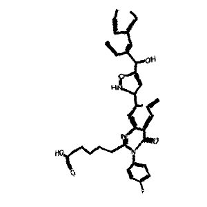 C=C/C=c1/c(=O)n(-c2ccc(F)cc2)c(CCCCC(=O)O)n/c1=C/C(C)C1C=C(C(O)/C(C=C)=C/C(/C=C\C)=C/C)ON1